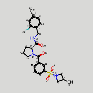 N#CC1CN(S(=O)(=O)c2cccc(C(=O)N3CCC[C@@H]3C(=O)NCc3ccc(C(F)(F)F)cc3F)c2)C1